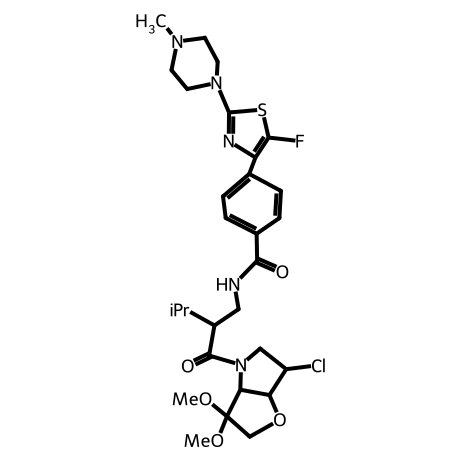 COC1(OC)COC2C(Cl)CN(C(=O)C(CNC(=O)c3ccc(-c4nc(N5CCN(C)CC5)sc4F)cc3)C(C)C)C21